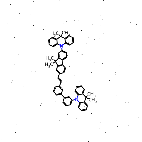 CC1(C)c2cc(/C=C/c3cccc(-c4cccc(N5c6ccccc6C(C)(C)c6ccccc65)c4)c3)ccc2-c2ccc(N3c4ccccc4C(C)(C)c4ccccc43)cc21